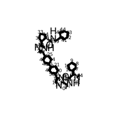 C[C@H](NC(=O)[C@@H](c1ccccc1)N(C)C)c1ncc(-c2ccc(-c3ccc(-c4cnc(C5CCC[C@H]5C(=O)NCc5ccccc5)[nH]4)cc3)cc2)[nH]1